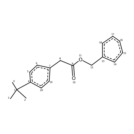 CC(C)(C)c1ccc(CC(=O)OCc2ccccc2)cc1